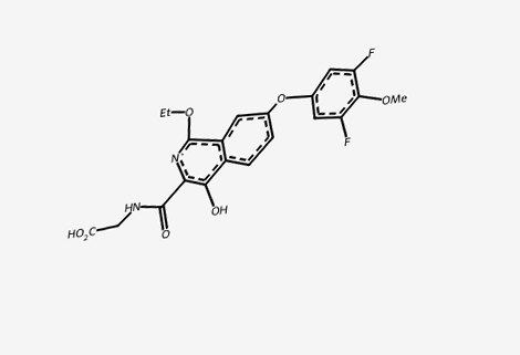 CCOc1nc(C(=O)NCC(=O)O)c(O)c2ccc(Oc3cc(F)c(OC)c(F)c3)cc12